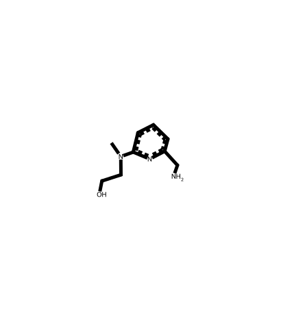 CN(CCO)c1cccc(CN)n1